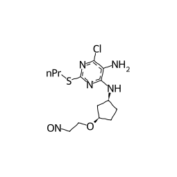 CCCSc1nc(Cl)c(N)c(N[C@H]2CC[C@@H](OCCN=O)C2)n1